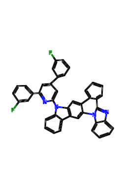 Fc1cccc(-c2cc(-c3cccc(F)c3)nc(-n3c4ccccc4c4cc5c(cc43)c3ccccc3c3nc4ccccc4n53)c2)c1